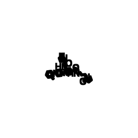 Cc1ccccc1N1CCN(c2ccc(C(=O)NCCCN3CCCC3=O)cc2NC(=O)c2ccn(C)n2)CC1